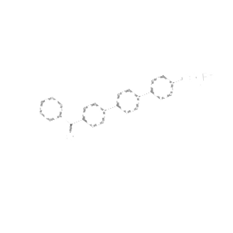 CCOC(=O)c1ccc(-c2ccc(-c3ccc(C(=O)c4ccccc4)cc3)cc2)cc1